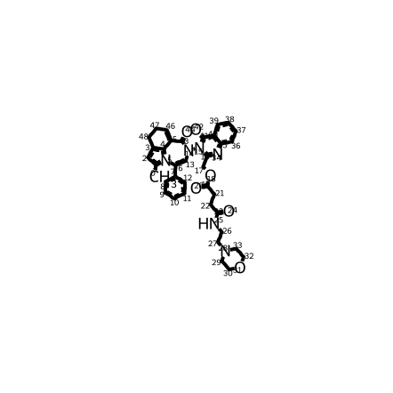 Cc1cc2c3n1C(c1ccccc1)=CN(n1c(COC(=O)CCC(=O)NCCN4CCOCC4)nc4ccccc4c1=O)C(=O)C3=CCC2